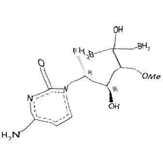 BC(B)(O)C(OC)[C@@H](O)[C@@H](F)n1ccc(N)nc1=O